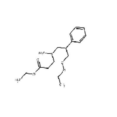 CCOOCC(CN(C)CCC(=O)OCC)c1ccccc1